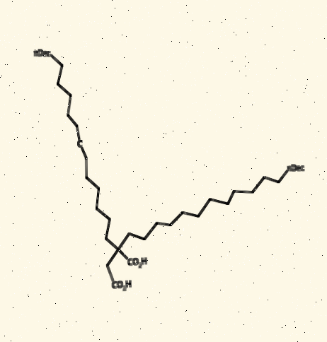 CCCCCCCCCCCCCCCCCCCCCCC(CCCCCCCCCCCCCCCCCCCCCC)(CC(=O)O)C(=O)O